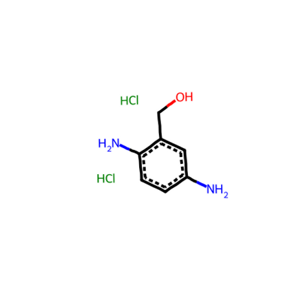 Cl.Cl.Nc1ccc(N)c(CO)c1